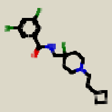 O=C(NCC1(F)CCN(CCC2CCC2)CC1)c1cc(Cl)cc(Cl)c1